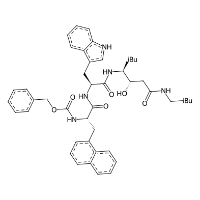 CCC(C)CNC(=O)C[C@H](O)[C@@H](NC(=O)[C@H](Cc1c[nH]c2ccccc12)NC(=O)[C@H](Cc1cccc2ccccc12)NC(=O)OCc1ccccc1)C(C)CC